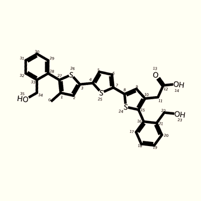 Cc1cc(-c2ccc(-c3cc(CC(=O)O)c(-c4ccccc4CO)s3)s2)sc1-c1ccccc1CO